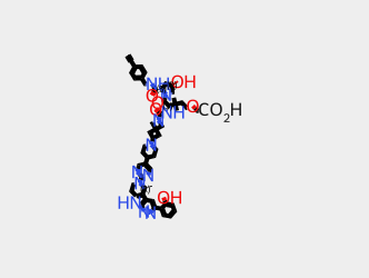 C#Cc1ccc(CNC(=O)[C@@H]2C[C@@H](O)CN2C(=O)[C@@H](NC(=O)N2CC3(CC(N4CCC(c5cnc(N6CCc7[nH]c8nnc(-c9ccccc9O)cc8c7[C@H]6C)nc5)CC4)C3)C2)C(C)(C)CCOCC(=O)O)cc1